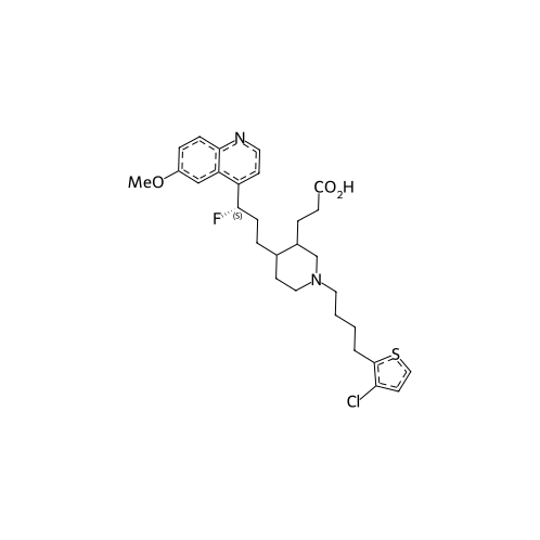 COc1ccc2nccc([C@@H](F)CCC3CCN(CCCCc4sccc4Cl)CC3CCC(=O)O)c2c1